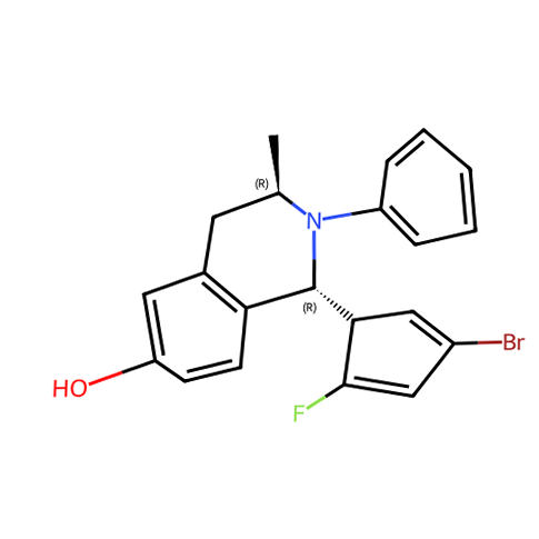 C[C@@H]1Cc2cc(O)ccc2[C@@H](C2C=C(Br)C=C2F)N1c1ccccc1